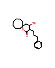 O=C1OC2(CCCCCCC2)CC(O)=C1CCCc1ccccc1